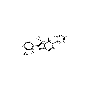 COc1nccc(-c2cc3cnn(-c4ccccn4)c(=O)n3c2C)c1F